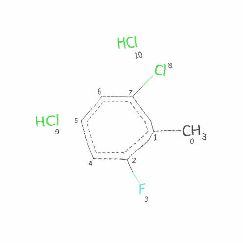 Cc1c(F)cccc1Cl.Cl.Cl